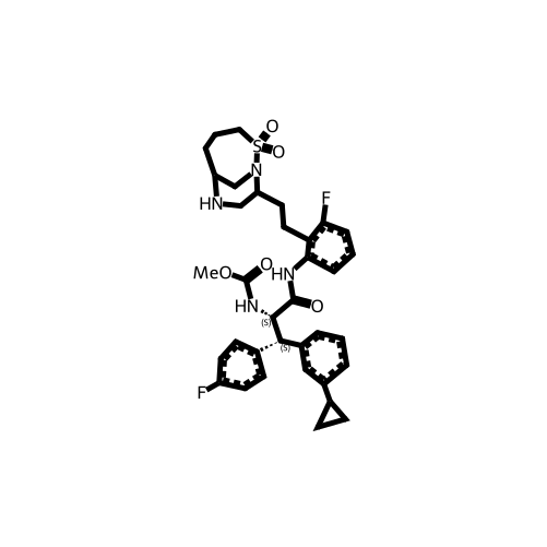 COC(=O)N[C@H](C(=O)Nc1cccc(F)c1CCC1CNC2CCCS(=O)(=O)N1C2)[C@@H](c1ccc(F)cc1)c1cccc(C2CC2)c1